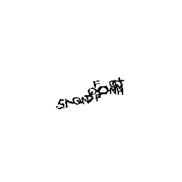 CC1(C)CN=C(Nc2cc(F)c(Oc3ccn(COCC[Si](C)(C)C)c3)c(F)c2)OC1